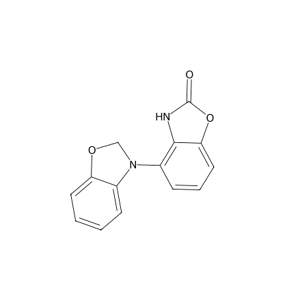 O=c1[nH]c2c(N3COc4ccccc43)cccc2o1